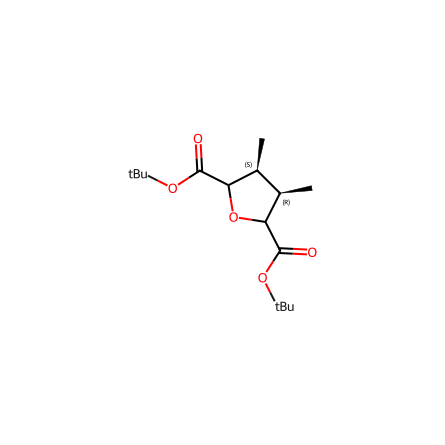 C[C@@H]1C(C(=O)OC(C)(C)C)OC(C(=O)OC(C)(C)C)[C@@H]1C